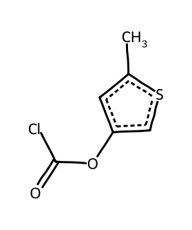 Cc1cc(OC(=O)Cl)cs1